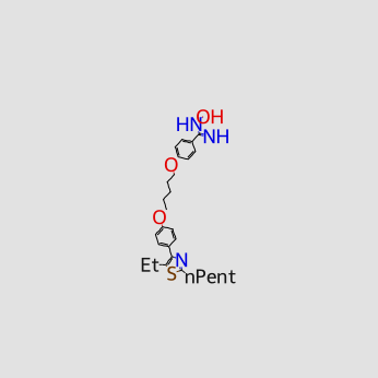 CCCCCc1nc(-c2ccc(OCCCCCOc3ccc(C(=N)NO)cc3)cc2)c(CC)s1